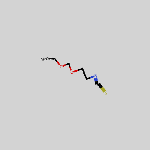 COCOCOCCN=C=S